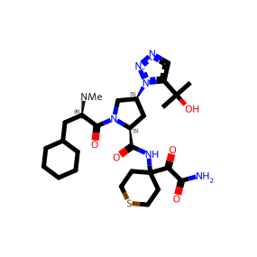 CN[C@H](CC1CCCCC1)C(=O)N1C[C@@H](n2nncc2C(C)(C)O)C[C@H]1C(=O)NC1(C(=O)C(N)=O)CCSCC1